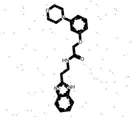 O=C(COc1cccc(N2CCOCC2)c1)NCCc1nc2ccccc2[nH]1